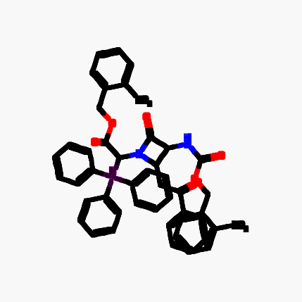 O=C(NC1C(=O)N(C(C(=O)OCc2ccccc2[N+](=O)[O-])[PH](c2ccccc2)(c2ccccc2)c2ccccc2)C1CC(=O)c1ccccc1)OCc1ccccc1[N+](=O)[O-]